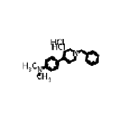 CN(C)c1ccc(C2=CCN(Cc3ccccc3)CC2)cc1.Cl.Cl